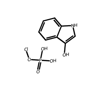 O=P(O)(O)OCl.Oc1c[nH]c2ccccc12